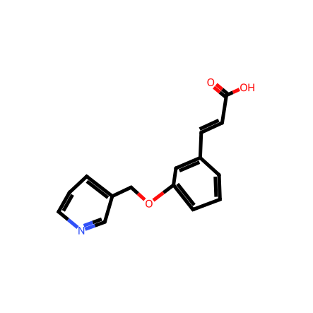 O=C(O)/C=C/c1cccc(OCc2cccnc2)c1